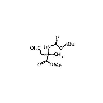 COC(=O)C(C)(CC=O)NC(=O)OC(C)(C)C